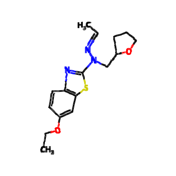 C/C=N/N(CC1CCCO1)c1nc2ccc(OCC)cc2s1